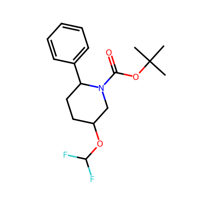 CC(C)(C)OC(=O)N1CC(OC(F)F)CCC1c1ccccc1